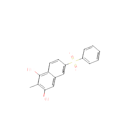 Cc1c(O)cc2cc(S(=O)(=O)c3ccccc3)ccc2c1O